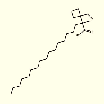 CCCCCCCCCCCCCCCCC(C)(C(=O)O)C1(CC)COC1